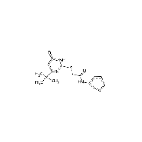 CC(C)(C)c1cc(=O)[nH]c(SCC(=O)Nc2ccccc2)n1